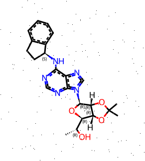 C[C@@H](O)[C@H]1O[C@@H](n2cnc3c(N[C@H]4CCc5ccccc54)ncnc32)[C@@H]2OC(C)(C)O[C@@H]21